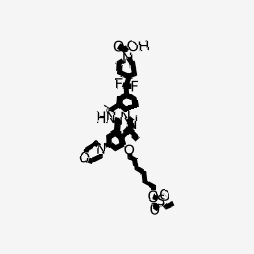 CCS(=O)(=O)OCCCCCCOc1cc(N2CCOCC2)cc2c(N[C@H](C)c3cccc(C(F)(F)C4CCN(C(=O)O)CC4)c3)nnc(C)c12